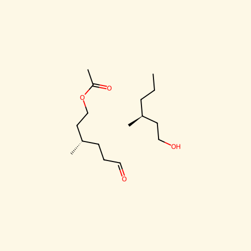 CC(=O)OCC[C@@H](C)CCC=O.CCC[C@H](C)CCO